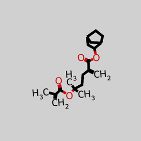 C=C(C)C(=O)OC(C)(C)CCC(=C)C(=O)OC1CC2CCC1C2